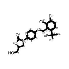 O=C1OC(CO)CN1c1ccc(OCc2c(C(F)(F)F)ccc(F)c2Cl)cn1